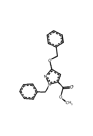 COC(=O)c1cc(OCc2ccccc2)nn1Cc1ccccc1